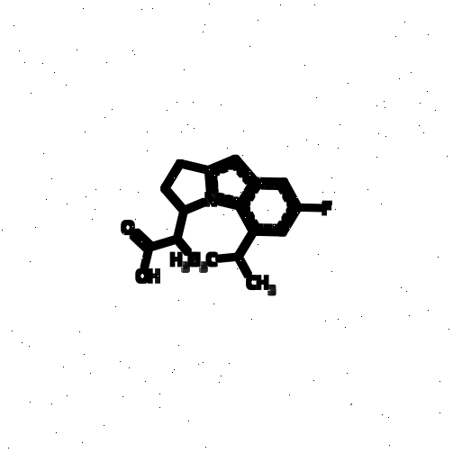 CC(C)c1cc(F)cc2cc3n(c12)C(C(C)C(=O)O)CC3